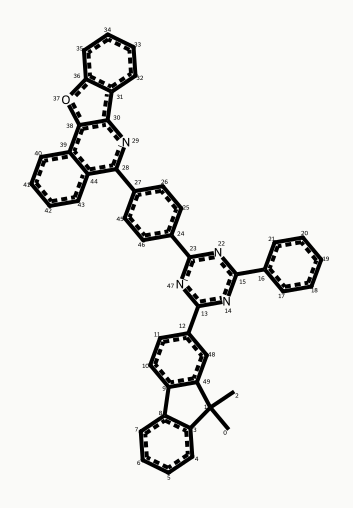 CC1(C)c2ccccc2-c2ccc(-c3nc(-c4ccccc4)nc(-c4ccc(-c5nc6c7ccccc7oc6c6ccccc56)cc4)n3)cc21